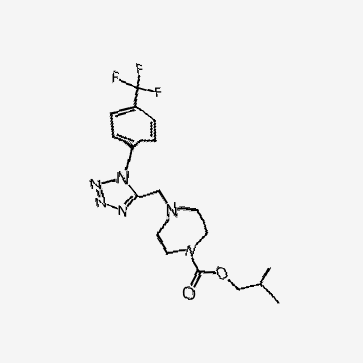 CC(C)COC(=O)N1CCN(Cc2nnnn2-c2ccc(C(F)(F)F)cc2)CC1